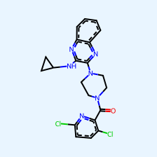 O=C(c1nc(Cl)ccc1Cl)N1CCN(c2nc3ccccc3nc2NC2CC2)CC1